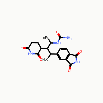 CCCC(NC(N)=O)C(C1CCC(=O)NC1=O)C(C)c1ccc2c(c1)C(=O)NC2=O